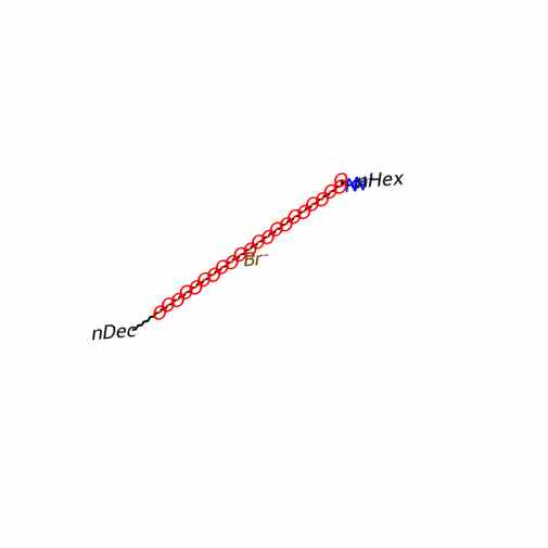 CCCCCCCCCCCCCCCCCCOCCOCCOCCOCCOCCOCCOCCOCCOCCOCCOCCOCCOCCOCCOCCOCCOCCOCCOCCOCCOC(=O)CCN1CC[N+](C)(CCCCCC)CC1.[Br-]